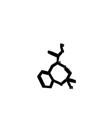 CCP1(=O)/C=N\[C@H](C(=O)OC(C)C)CC2=CC=CCC2O1